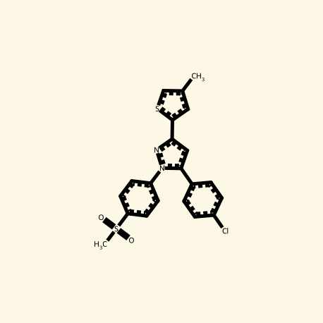 Cc1csc(-c2cc(-c3ccc(Cl)cc3)n(-c3ccc(S(C)(=O)=O)cc3)n2)c1